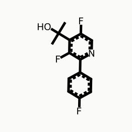 CC(C)(O)c1c(F)cnc(-c2ccc(F)cc2)c1F